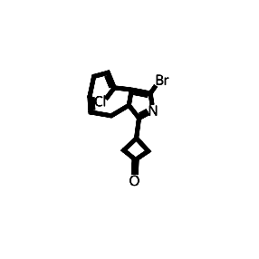 O=C1CC(C2=NC(Br)=C3/C(Cl)=C/C/C=C\CC23)C1